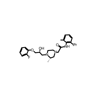 Cc1cccc(C(C)C)c1NC(=O)CN1CCN(C[C@H](O)COc2ccccc2F)[C@@H](C)C1